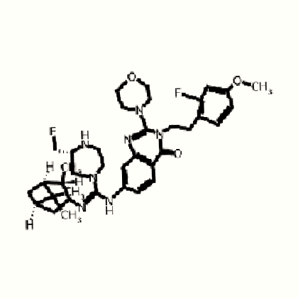 COc1ccc(CCn2c(N3CCOCC3)nc3cc(N/C(=N/C4C[C@H]5C[C@@H]([C@@H]4C)C5(C)C)N4CCN[C@@H](CF)C4)ccc3c2=O)c(F)c1